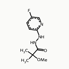 COC(C)(C)C(=O)NNc1ccc(F)cn1